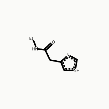 CCNC(=O)Cc1c[nH]cn1